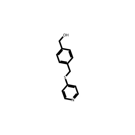 OCc1ccc(CSc2ccncc2)cc1